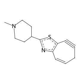 CN1CCC(c2nc3c(s2)C#CCC=C3)CC1